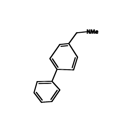 CNCc1ccc(-c2ccccc2)cc1